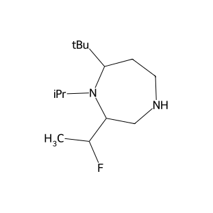 CC(F)C1CNCCC(C(C)(C)C)N1C(C)C